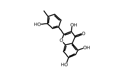 Cc1ccc(-c2oc3cc(O)cc(O)c3c(=O)c2O)cc1O